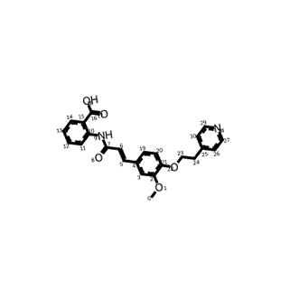 COc1cc(C=CC(=O)Nc2ccccc2C(=O)O)ccc1OCCc1ccncc1